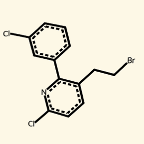 Clc1cccc(-c2nc(Cl)ccc2CCBr)c1